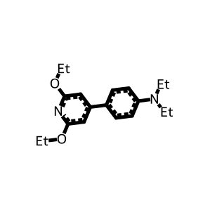 CCOc1cc(-c2ccc(N(CC)CC)cc2)cc(OCC)n1